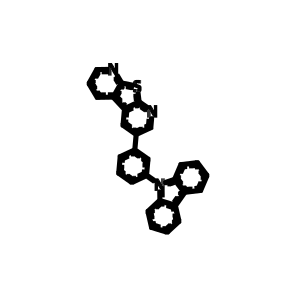 c1cc(-c2cnc3sc4ncccc4c3c2)cc(-n2c3ccccc3c3ccccc32)c1